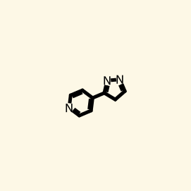 C1=NN=C(c2ccncc2)C1